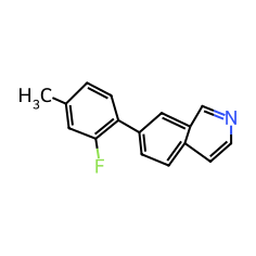 Cc1ccc(-c2ccc3ccncc3c2)c(F)c1